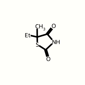 CCC1(C)SC(=O)NC1=O